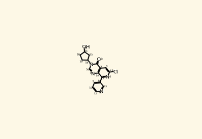 O=c1c2cc(Cl)nc(-c3cccnc3)c2ncn1C1CCC(O)C1